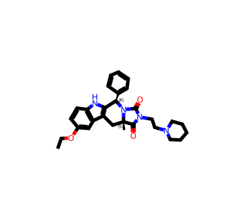 CCOc1ccc2[nH]c3c(c2c1)C[C@@]1(C)C(=O)N(CCN2CCCCC2)C(=O)N1[C@@H]3c1ccccc1